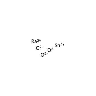 [O-2].[O-2].[O-2].[Ra+2].[Sn+4]